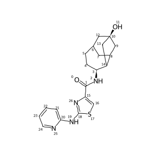 O=C(N[C@H]1CCC2CC3C[C@@](O)(C2)CC31)c1csc(Nc2ccccn2)n1